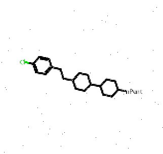 CCCCCC1CCC(C2CCC(CCc3ccc(Cl)cc3)CC2)CC1